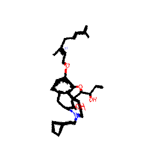 CCC(O)C1Oc2c(OC/C=C(\C)CCC=C(C)C)ccc3c2C12CCN(CC1CCC1)C(C3)C2(C)O